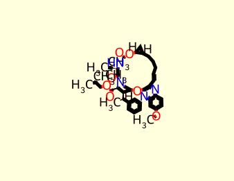 COc1ccc2nc3c(nc2c1)O[C@H]1CN(C(=O)[C@H](C(C)(C)C)NC(=O)O[C@@H]2C[C@H]2CCC/C=C/3)[C@H](C(=O)OCC(C)C)[C@@H]1[C@@H](C)c1ccccc1